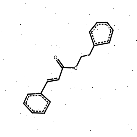 O=C(/C=C/c1cc[c]cc1)OCCc1ccccc1